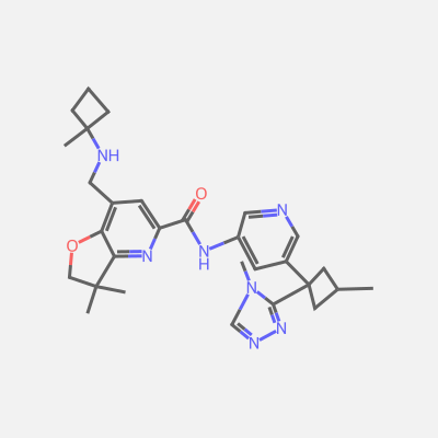 CC1CC(c2cncc(NC(=O)c3cc(CNC4(C)CCC4)c4c(n3)C(C)(C)CO4)c2)(c2nncn2C)C1